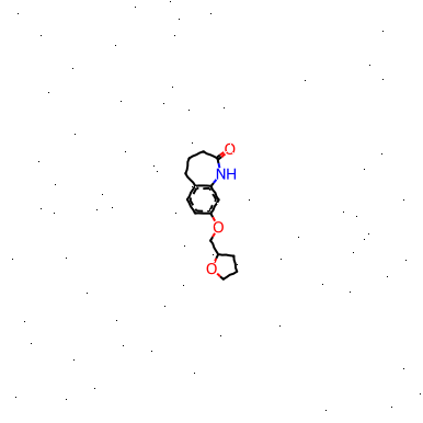 O=C1CCCc2ccc(OCC3CCCO3)cc2N1